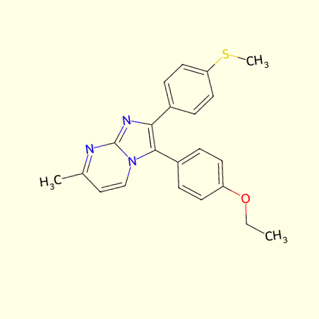 CCOc1ccc(-c2c(-c3ccc(SC)cc3)nc3nc(C)ccn23)cc1